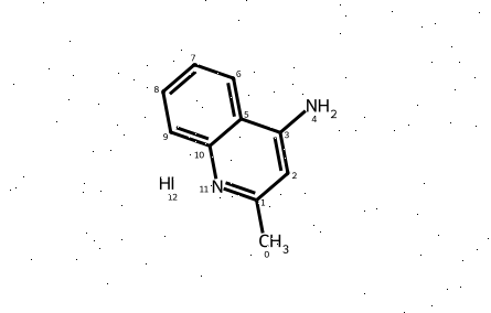 Cc1cc(N)c2ccccc2n1.I